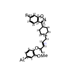 COc1cc(C(C)=O)ccc1OC(C)/C=C/CN1CCC(c2noc3cc(F)ccc23)CC1